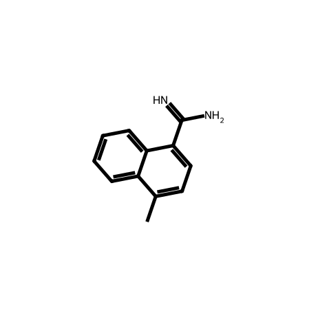 Cc1ccc(C(=N)N)c2ccccc12